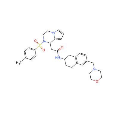 Cc1ccc(S(=O)(=O)N2CCn3cccc3C2CC(=O)NC2CCc3cc(CN4CCOCC4)ccc3C2)cc1